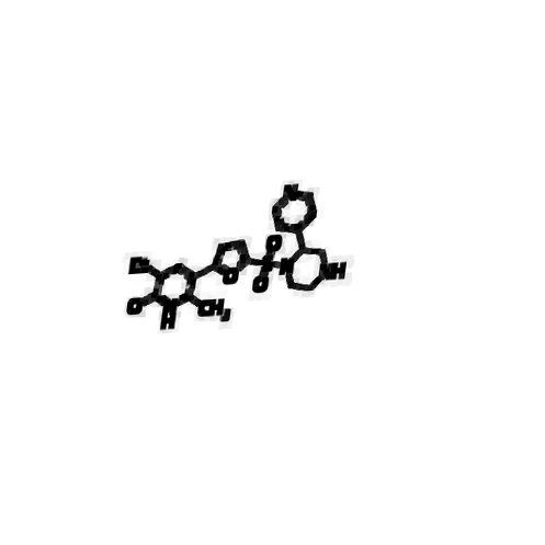 CCc1cc(-c2ccc(S(=O)(=O)N3CCNCC3c3ccncc3)o2)c(C)[nH]c1=O